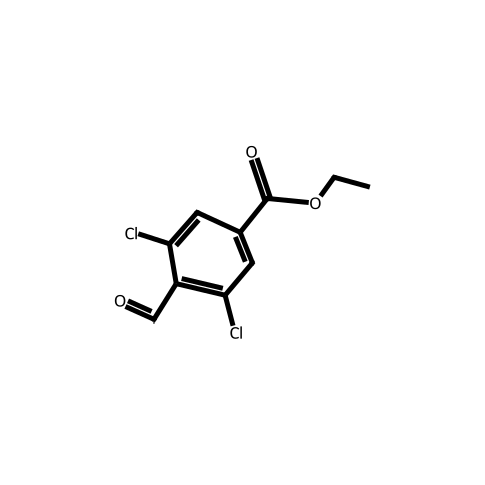 CCOC(=O)c1cc(Cl)c([C]=O)c(Cl)c1